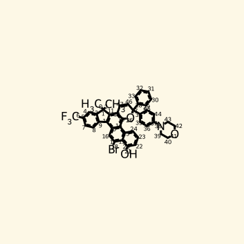 CC1(C)c2cc(C(F)(F)F)ccc2-c2c1c1c(c3c2cc(Br)c2c(O)cccc23)OC(c2ccccc2)(c2ccc(N3CCOCC3)cc2)C=C1